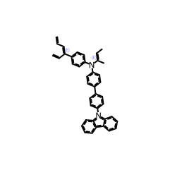 C=C/C=C(\C=C)c1ccc(N(/C(C)=C/C)c2ccc(-c3ccc(-n4c5ccccc5c5ccccc54)cc3)cc2)cc1